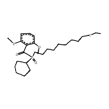 CCCCCCCCCCCCP(=O)(C(=O)c1c(OC)cccc1OC)C1CCCCC1